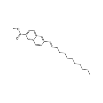 CCCCCCCCCCC=Cc1ccc2cc(C(=O)OC)ccc2c1